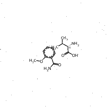 CC(C)[C@H](N)C(=O)O.COc1ccccc1C(N)=O